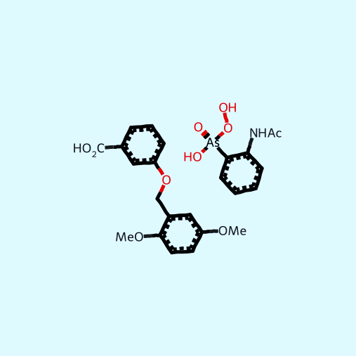 CC(=O)Nc1ccccc1[As](=O)(O)OO.COc1ccc(OC)c(COc2cccc(C(=O)O)c2)c1